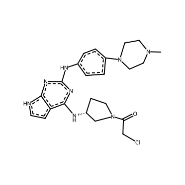 CN1CCN(c2ccc(Nc3nc(N[C@@H]4CCN(C(=O)CCl)C4)c4cc[nH]c4n3)cc2)CC1